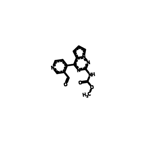 COC(=O)Nc1nc(-c2ccncc2C=O)c2cccn2n1